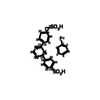 Fc1ccccc1.O=S(=O)(O)Oc1ccc(-c2ncnc(-c3ccc(S(=O)(=O)O)cc3)n2)cc1